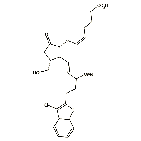 COC(/C=C/C1[C@H](CO)CC(=O)[C@@H]1C/C=C\CCCC(=O)O)CCC1=C(Cl)C2C=CC=CC2S1